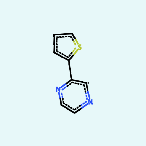 [c]1nccnc1-c1cccs1